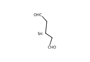 O=CCCCC=O.[Sn]